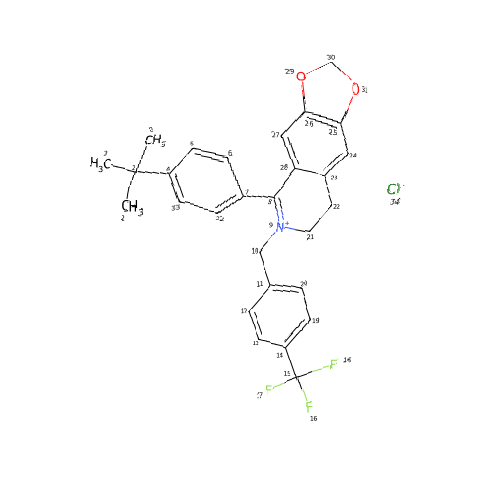 CC(C)(C)c1ccc(C2=[N+](Cc3ccc(C(F)(F)F)cc3)CCc3cc4c(cc32)OCO4)cc1.[Cl-]